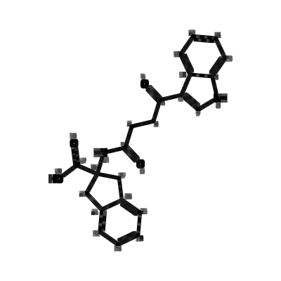 O=C(CCC(=O)c1c[nH]c2ccccc12)NC1(C(=O)O)Cc2ccccc2C1